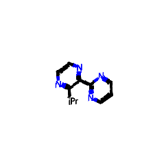 CC(C)c1nccnc1-c1ncccn1